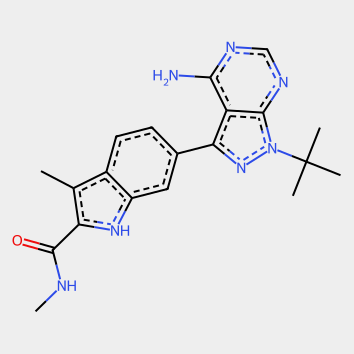 CNC(=O)c1[nH]c2cc(-c3nn(C(C)(C)C)c4ncnc(N)c34)ccc2c1C